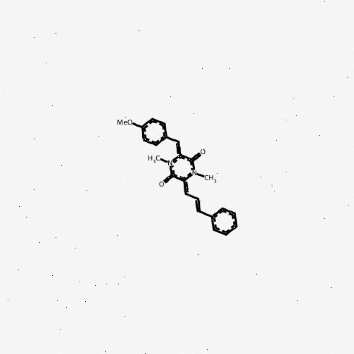 COc1ccc(/C=c2/c(=O)n(C)/c(=C\C=Cc3ccccc3)c(=O)n2C)cc1